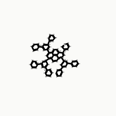 c1ccc(-c2cc(-c3ccccc3)cc(-c3cc(-c4cccnc4)c4ccc5c(-c6cc(-c7ccccc7)cc(-c7ccccc7)c6)cc(-c6cc(-c7ccccc7)cc(-c7ccccc7)c6)c6ccc3c4c56)c2)cc1